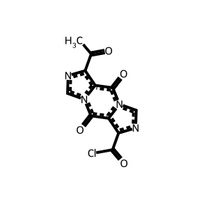 CC(=O)c1ncn2c(=O)c3c(C(=O)Cl)ncn3c(=O)c12